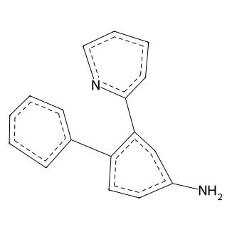 Nc1ccc(-c2ccccc2)c(-c2ccccn2)c1